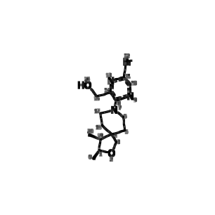 C[C@@H]1OCC2(CCN(c3ncc(Br)nc3CO)CC2)[C@@H]1C